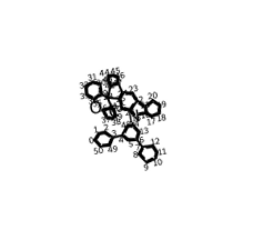 c1ccc(-c2cc(-c3ccccc3)cc(-n3c4ccccc4c4cc5c(cc43)C3(c4ccccc4Oc4ccccc43)c3ccccc3-5)c2)cc1